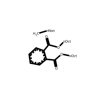 CCCCCCCCCC.CCCCCCCCOC(=O)c1ccccc1C(=O)OCCCCCCCC